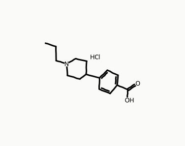 CCCN1CCC(c2ccc(C(=O)O)cc2)CC1.Cl